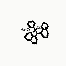 COc1ccccc1C(C)(C(=O)O)C(c1cccc2ccccc12)c1cccc2ccccc12